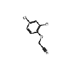 N#CCOc1ccc(Cl)cc1Cl